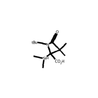 C[SiH](C)C1(C(=O)O)N(C(C)(C)C)C(=O)C1(C)C